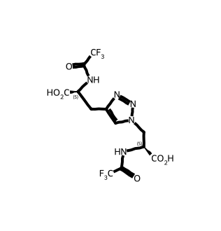 O=C(O)[C@H](Cc1cn(C[C@H](NC(=O)C(F)(F)F)C(=O)O)nn1)NC(=O)C(F)(F)F